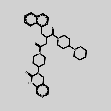 O=C(CC(Cc1cccc2ccccc12)C(=O)N1CCC(N2CCCCC2)CC1)N1CCC(N2Cc3ccncc3NC2=O)CC1